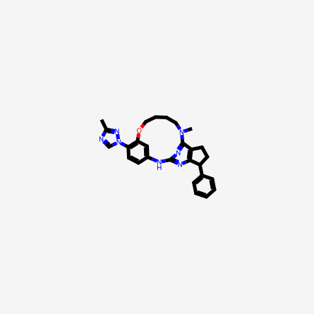 Cc1ncn(-c2ccc3cc2OCCCCN(C)c2nc(nc4c2CCC4c2ccccc2)N3)n1